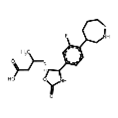 CC(CC(=O)O)C[C@H]1OC(=O)NC1c1ccc(C2CCCSNC2)c(F)c1